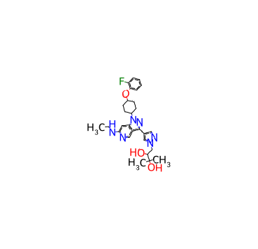 CCNc1cc2c(cn1)c(-c1cnn(C[C@H](O)C(C)(C)O)c1)nn2C1CCC(Oc2ccccc2F)CC1